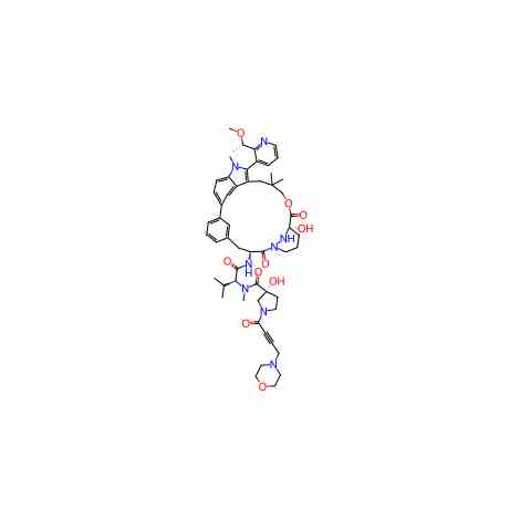 CO[C@@H](C)c1ncccc1-c1c2c3cc(ccc3n1C)-c1cccc(c1)C[C@H](NC(=O)[C@H](C(C)C)N(C)C(=O)[C@@]1(O)CCN(C(=O)C#CCN3CCOCC3)C1)C(=O)N1CCC[C@@](O)(N1)C(=O)OCC(C)(C)C2